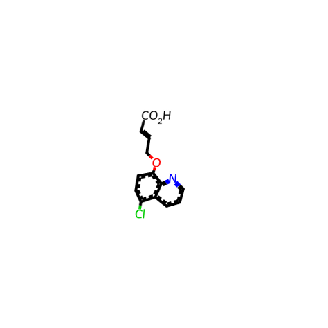 O=C(O)C=CCOc1ccc(Cl)c2cccnc12